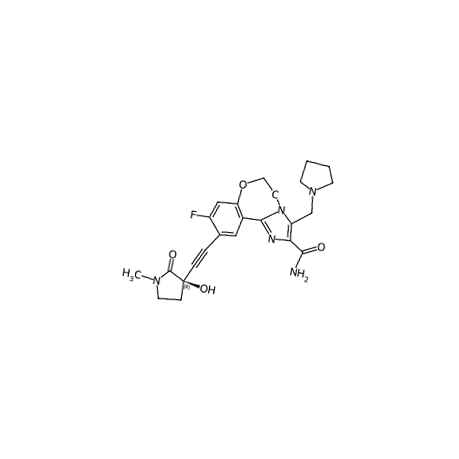 CN1CC[C@@](O)(C#Cc2cc3c(cc2F)OCCn2c-3nc(C(N)=O)c2CN2CCCC2)C1=O